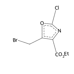 CCOC(=O)c1nc(Cl)oc1CBr